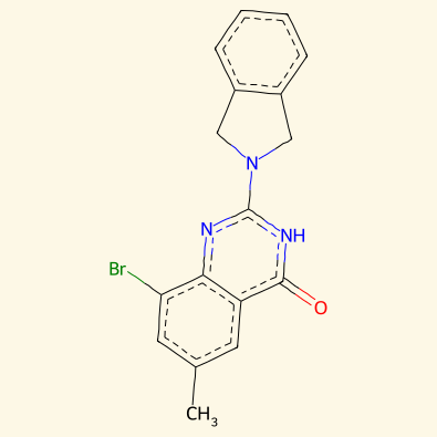 Cc1cc(Br)c2nc(N3Cc4ccccc4C3)[nH]c(=O)c2c1